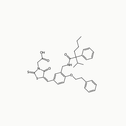 CCCCC(C(=O)NCc1cc(C=C2SC(=S)N(CC(=O)O)C2=O)ccc1OCCc1ccccc1)(c1ccccc1)C(C)C